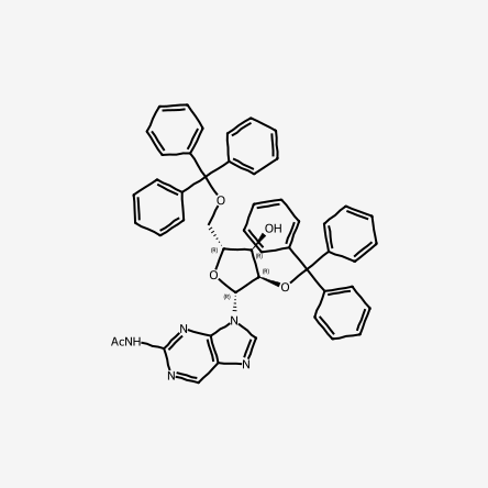 CC(=O)Nc1ncc2ncn([C@@H]3O[C@H](COC(c4ccccc4)(c4ccccc4)c4ccccc4)[C@@H](O)[C@H]3OC(c3ccccc3)(c3ccccc3)c3ccccc3)c2n1